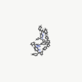 C1=CC(c2cc(-c3ccccc3)c3ccc4c(-c5ccccc5)cc(-c5ccccc5)nc4c3n2)CC=C1C1(c2ccc(-c3cc(-c4ccccc4)c4ccc5c(-c6ccccc6)cc(-c6ccccc6)nc5c4n3)cc2)c2cc(-c3ccccc3)ccc2-c2ccc(-c3ccccc3)cc21